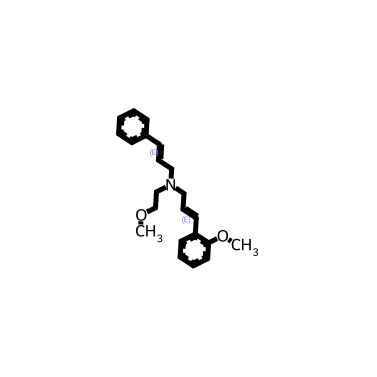 COCCN(C/C=C/c1ccccc1)C/C=C/c1ccccc1OC